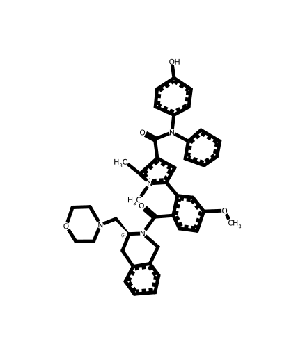 COc1ccc(C(=O)N2Cc3ccccc3C[C@H]2CN2CCOCC2)c(-c2cc(C(=O)N(c3ccccc3)c3ccc(O)cc3)c(C)n2C)c1